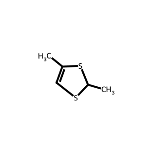 CC1=CSC(C)S1